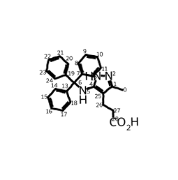 Cc1n[nH]c(NC(c2ccccc2)(c2ccccc2)c2ccccc2)c1CCC(=O)O